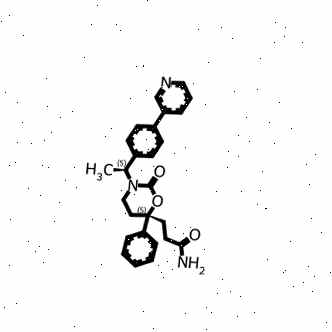 C[C@@H](c1ccc(-c2cccnc2)cc1)N1CC[C@@](CCC(N)=O)(c2ccccc2)OC1=O